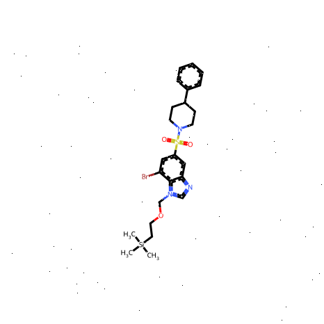 C[Si](C)(C)CCOCn1cnc2cc(S(=O)(=O)N3CCC(c4ccccc4)CC3)cc(Br)c21